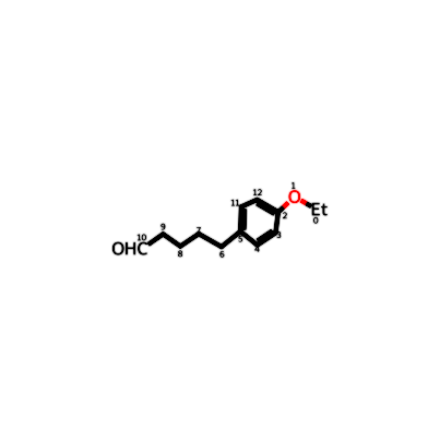 CCOc1ccc(CCCCC=O)cc1